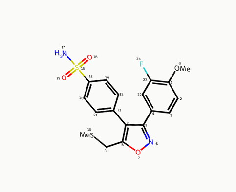 COc1ccc(-c2noc(CSC)c2-c2ccc(S(N)(=O)=O)cc2)cc1F